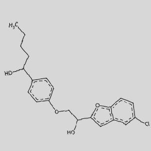 CCCCC(O)c1ccc(OCC(O)c2cc3cc(Cl)ccc3o2)cc1